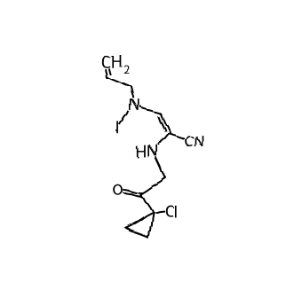 C=CCN(I)/C=C(/C#N)NCC(=O)C1(Cl)CC1